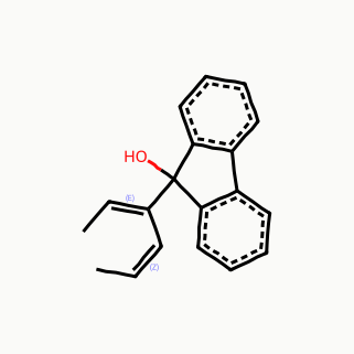 C/C=C\C(=C/C)C1(O)c2ccccc2-c2ccccc21